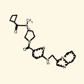 CN(C(=O)C1CCC1)[C@H]1CCN(C(=O)c2ccc(NCc3cnc4ccccn34)nc2)C1